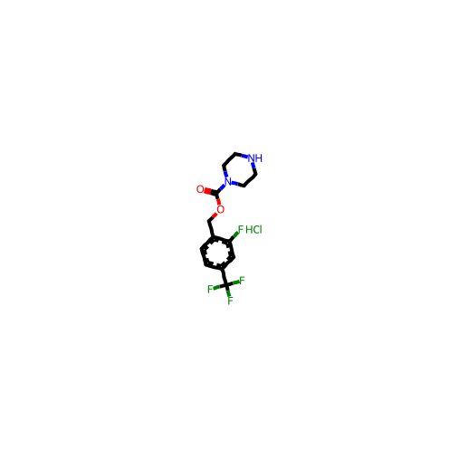 Cl.O=C(OCc1ccc(C(F)(F)F)cc1F)N1CCNCC1